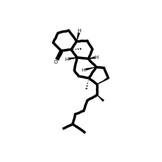 CC(C)CCC[C@H](C)[C@@H]1CC[C@H]2[C@H]3CC[C@H]4CCCC(=O)[C@]4(C)[C@H]3CC[C@@]21C